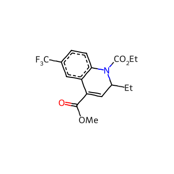 CCOC(=O)N1c2ccc(C(F)(F)F)cc2C(C(=O)OC)=CC1CC